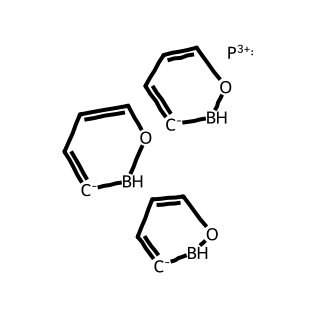 B1[C-]=CC=CO1.B1[C-]=CC=CO1.B1[C-]=CC=CO1.[P+3]